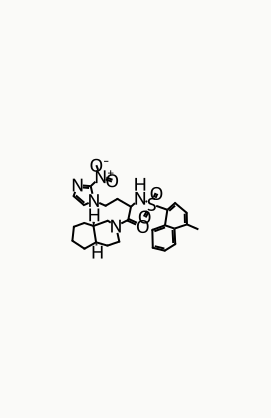 Cc1ccc(S(=O)(=O)NC(CCn2ccnc2[N+](=O)[O-])C(=O)N2CC[C@H]3CCCC[C@@H]3C2)c2ccccc12